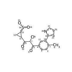 Cc1ccc(C(=O)C(Cl)C(=O)C2CC2=S(=O)=O)cc1-c1nccs1